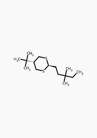 CCC(C)(C)CC[C@H]1SC[C@H](C(C)(C)C)CS1